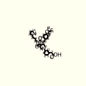 O=C(O)Cc1cccc(N2CCC3(CC2)C(=O)N(CCCC2C=CC=N2)C(=O)N3Cc2ccc(OC(F)(F)F)cc2)c1